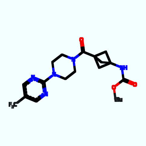 CC(C)(C)OC(=O)NC12CC(C(=O)N3CCN(c4ncc(C(F)(F)F)cn4)CC3)(C1)C2